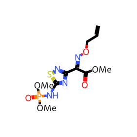 C=CCON=C(C(=O)OC)c1nsc(NP(=O)(OC)OC)n1